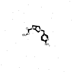 CC(C)(C)OC(=O)N1CC2CN(Cc3ccc(N)nc3)CC21